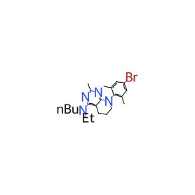 CCCCN(CC)c1nc(C)nc2c1CCCN2c1c(C)cc(Br)cc1C